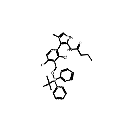 CCCC(=O)Nc1[nH]cc(C)c1-c1ccc(Cl)c(CO[Si](c2ccccc2)(c2ccccc2)C(C)(C)C)c1Cl